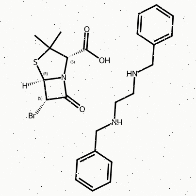 CC1(C)S[C@@H]2[C@@H](Br)C(=O)N2[C@H]1C(=O)O.c1ccc(CNCCNCc2ccccc2)cc1